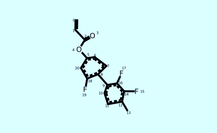 C=CC(=O)Oc1ccc(-c2ccc(C)c(F)c2F)c(F)c1